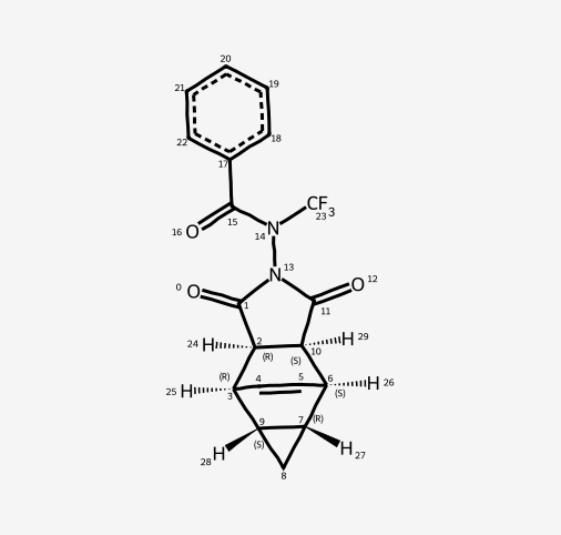 O=C1[C@@H]2[C@H]3C=C[C@H]([C@@H]4C[C@H]34)[C@@H]2C(=O)N1N(C(=O)c1ccccc1)C(F)(F)F